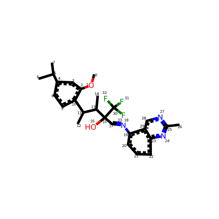 COc1cc(C(C)C)ccc1C(C)C(C)C(O)(C=Nc1cccc2nc(C)ncc12)C(F)(F)F